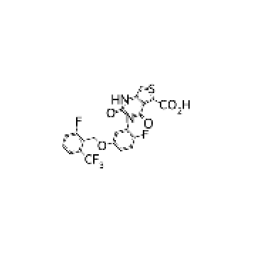 O=C(O)c1scc2[nH]c(=O)n(-c3cc(OCc4c(F)cccc4C(F)(F)F)ccc3F)c(=O)c12